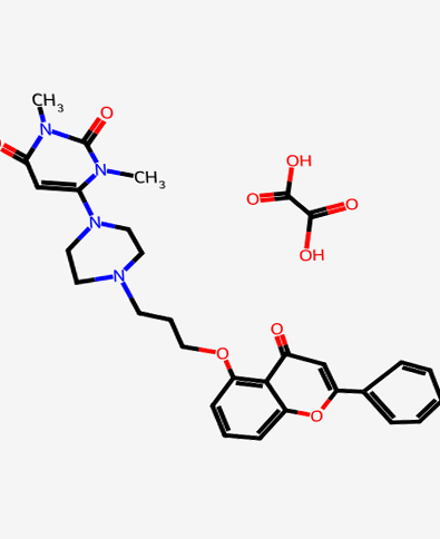 Cn1c(N2CCN(CCCOc3cccc4oc(-c5ccccc5)cc(=O)c34)CC2)cc(=O)n(C)c1=O.O=C(O)C(=O)O